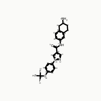 NC1CCc2cc(NC(=O)c3cnn(-c4ccc(OC(F)(F)F)cc4)c3)ccc2C1